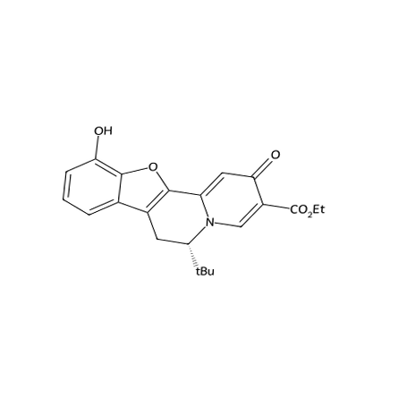 CCOC(=O)c1cn2c(cc1=O)-c1oc3c(O)cccc3c1C[C@H]2C(C)(C)C